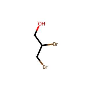 O[CH]C(Br)CBr